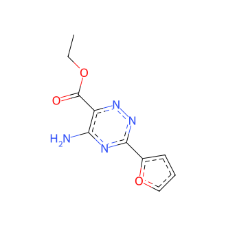 CCOC(=O)c1nnc(-c2ccco2)nc1N